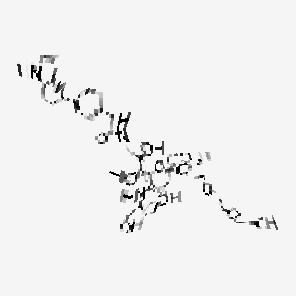 C#CCOCCOCCO[C@]1(C(=O)O)C[C@H](O)[C@@H](NC(=O)CO)[C@H]([C@H](O)[C@H](O)CNC(=O)Cc2ccc(-c3ccc4[nH]ccc4c3)cc2)O1